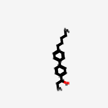 CCCCCc1ccc(-c2ccc(C(O)CC)cc2)cc1